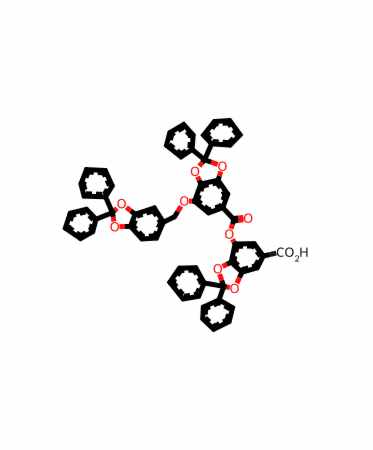 O=C(O)c1cc(OC(=O)c2cc(OCc3ccc4c(c3)OC(c3ccccc3)(c3ccccc3)O4)c3c(c2)OC(c2ccccc2)(c2ccccc2)O3)c2c(c1)OC(c1ccccc1)(c1ccccc1)O2